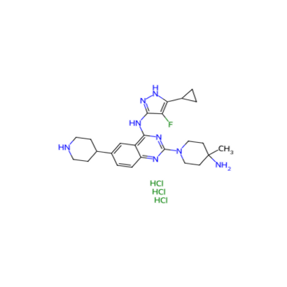 CC1(N)CCN(c2nc(Nc3n[nH]c(C4CC4)c3F)c3cc(C4CCNCC4)ccc3n2)CC1.Cl.Cl.Cl